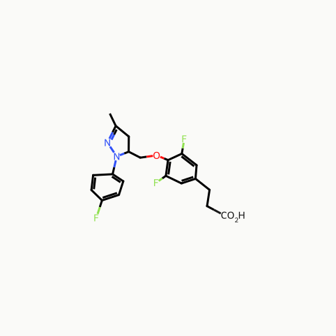 CC1=NN(c2ccc(F)cc2)C(COc2c(F)cc(CCC(=O)O)cc2F)C1